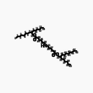 CCCCCCCCC(CCCCCC)COC(=O)CCCCCNCCCCCC(=O)OCC(CCCCCC)CCCCCCCC